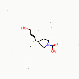 O=C(O)N1CCC(CC=CCO)CC1